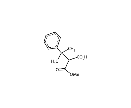 COC(=O)C(C(=O)O)C(C)(C)c1ccccc1